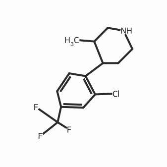 CC1CNCCC1c1ccc(C(F)(F)F)cc1Cl